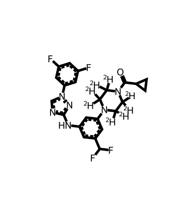 [2H]C1([2H])N(C(=O)C2CC2)C([2H])([2H])C([2H])([2H])N(c2cc(Nc3ncn(-c4cc(F)cc(F)c4)n3)cc(C(F)F)c2)C1([2H])[2H]